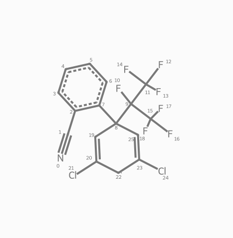 N#Cc1ccccc1C1(C(F)(C(F)(F)F)C(F)(F)F)C=C(Cl)[CH]C(Cl)=C1